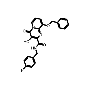 O=C(NCc1ccc(F)cc1)c1nc2c(OCc3ccccc3)cccn2c(=O)c1O